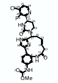 COC(=O)Nc1ccc2c(c1)NC(=O)C/C=C/C[C@H](N1CC[C@H](c3nccc(Cl)c3F)NC1=O)c1nc-2c[nH]1